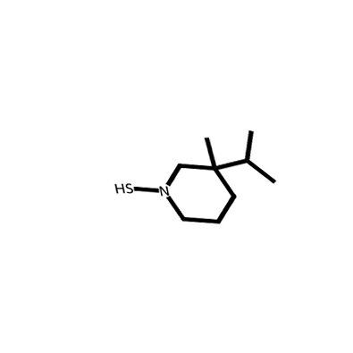 CC(C)C1(C)CCCN(S)C1